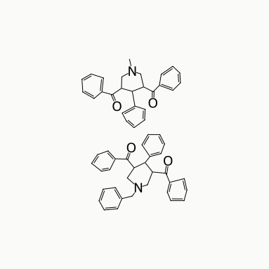 CN1CC(C(=O)c2ccccc2)C(c2ccccc2)C(C(=O)c2ccccc2)C1.O=C(c1ccccc1)C1CN(Cc2ccccc2)CC(C(=O)c2ccccc2)C1c1ccccc1